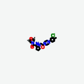 Cc1ccc(N2CCN(C(=O)Cn3nc(C(=O)N4C[C@@H](C)O[C@@H](C)C4)c4c3CCC4)CC2)cc1Cl